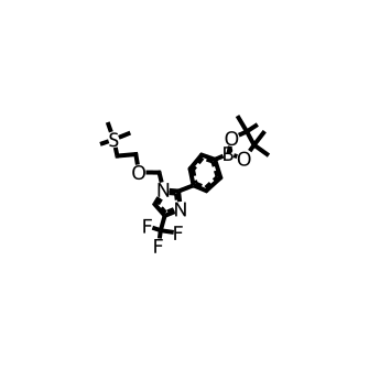 CC1(C)OB(c2ccc(-c3nc(C(F)(F)F)cn3COCCS(C)(C)C)cc2)OC1(C)C